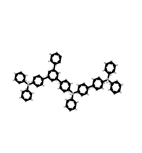 c1ccc(-c2cc(-c3ccc(N(c4ccccc4)c4ccccc4)cc3)cc(-c3ccc(N(c4ccccc4)c4ccc(-c5ccc(N(c6ccccc6)c6ccccc6)cc5)cc4)cc3)c2)cc1